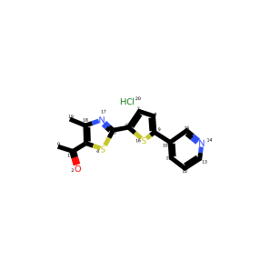 CC(=O)c1sc(-c2ccc(-c3cccnc3)s2)nc1C.Cl